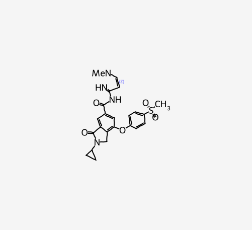 CN/C=C\C(=N)NC(=O)c1cc(Oc2ccc(S(C)(=O)=O)cc2)c2c(c1)C(=O)N(C1CC1)C2